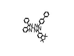 CC1(C)CC(C)(C)c2cc(-c3nc(-c4ccc(-c5ccccc5)cc4)nc(-c4nc(-c5ccccc5)c5ccccc5n4)n3)ccc21